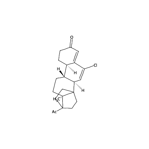 CC(=O)C12CCC3(CC1)[C@@H]1C=C(Cl)C4=CC(=O)CC[C@@H]4[C@H]1CC[C@]23C